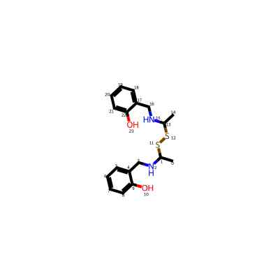 CC(NCc1ccccc1O)SSC(C)NCc1ccccc1O